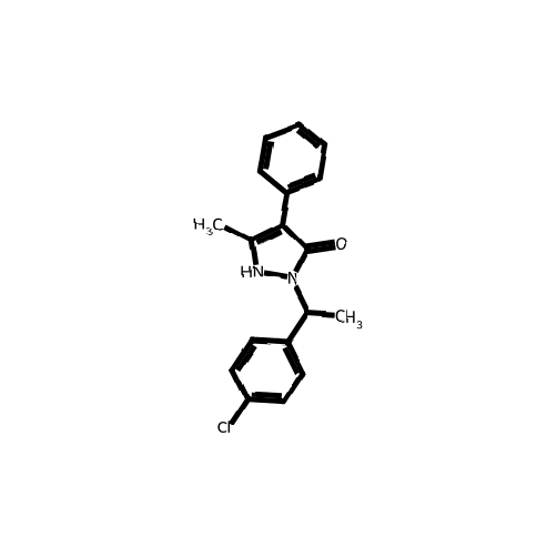 Cc1[nH]n(C(C)c2ccc(Cl)cc2)c(=O)c1-c1ccccc1